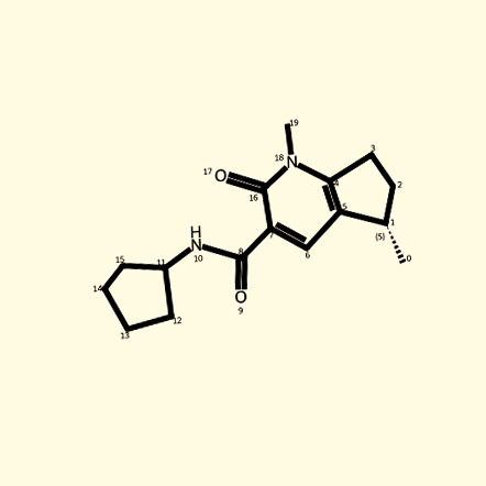 C[C@H]1CCc2c1cc(C(=O)NC1CCCC1)c(=O)n2C